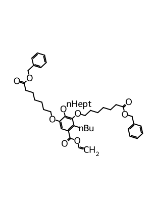 C=COC(=O)c1cc(OCCCCCCC(=O)OCc2ccccc2)c(OCCCCCCC)c(OCCCCCCC(=O)OCc2ccccc2)c1CCCC